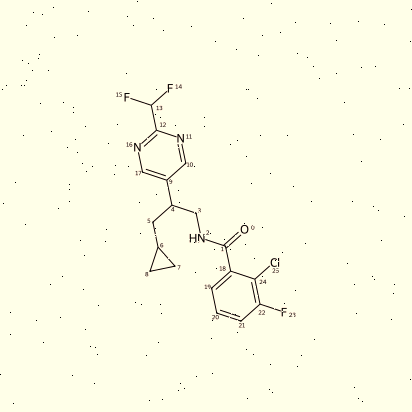 O=C(NCC(CC1CC1)c1cnc(C(F)F)nc1)c1cccc(F)c1Cl